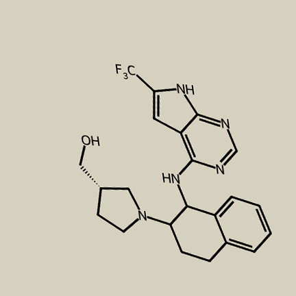 OC[C@H]1CCN(C2CCc3ccccc3C2Nc2ncnc3[nH]c(C(F)(F)F)cc23)C1